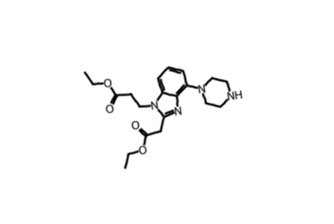 CCOC(=O)CCn1c(CC(=O)OCC)nc2c(N3CCNCC3)cccc21